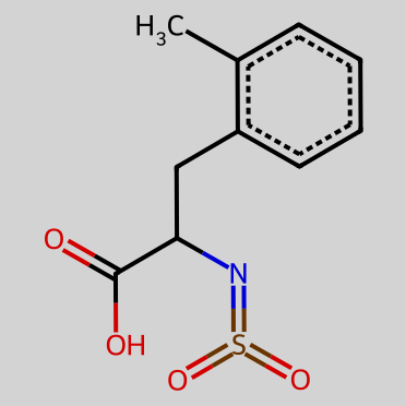 Cc1ccccc1CC(N=S(=O)=O)C(=O)O